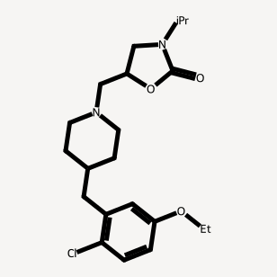 CCOc1ccc(Cl)c(CC2CCN(CC3CN(C(C)C)C(=O)O3)CC2)c1